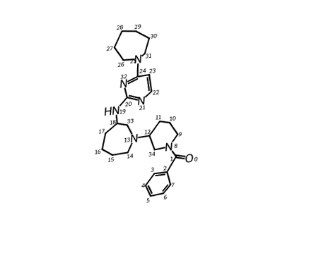 O=C(c1ccccc1)N1CCCC(N2CCCCC(Nc3nccc(N4CCCCCC4)n3)C2)C1